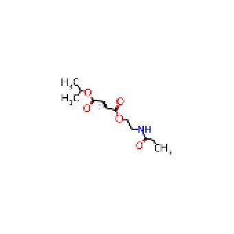 CCC(=O)NCCOC(=O)/C=C/C(=O)OC(C)C